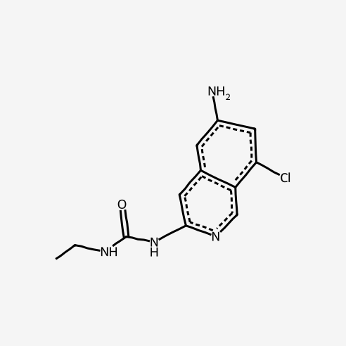 CCNC(=O)Nc1cc2cc(N)cc(Cl)c2cn1